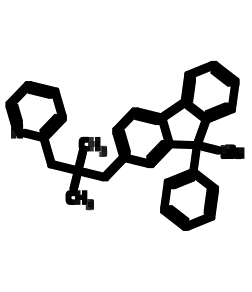 CC(C)(Cc1ccc2c(c1)C(c1ccccc1)(C(C)(C)C)c1ccccc1-2)Cc1ccccn1